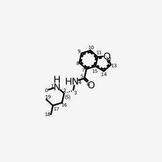 CN[C@H](CNC(=O)c1cccc2occc12)CC(C)C